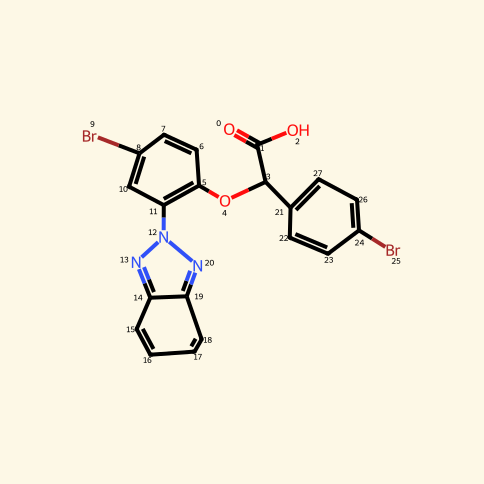 O=C(O)C(Oc1ccc(Br)cc1-n1nc2ccccc2n1)c1ccc(Br)cc1